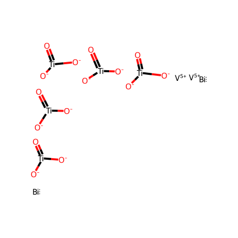 [Bi].[Bi].[O]=[Ti]([O-])[O-].[O]=[Ti]([O-])[O-].[O]=[Ti]([O-])[O-].[O]=[Ti]([O-])[O-].[O]=[Ti]([O-])[O-].[V+5].[V+5]